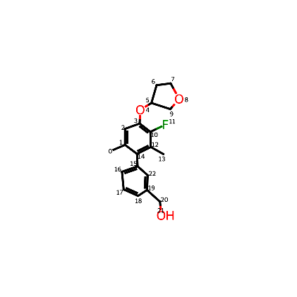 Cc1cc(OC2CCOC2)c(F)c(C)c1-c1cccc(CO)c1